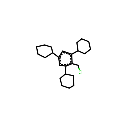 ClCc1c(C2CCCCC2)cc(C2CCCCC2)cc1C1CCCCC1